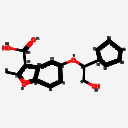 Cc1oc2ccc(OC(CO)c3ccccc3)cc2c1C(=O)O